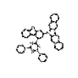 c1ccc2cc3c(cc2c#1)c1cc2ccccc2cc1n3-c1cc(-c2nc(-c3ccccc3)nc(-c3ccccc3)n2)c2c(c1)oc1ccccc12